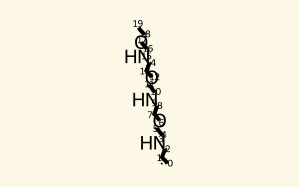 [CH2]CCNCCOCCNCCOCCNCOCC